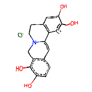 OC1=[C+]C2=C(C=C1O)CCN1Cc3c(ccc(O)c3O)C=C21.[Cl-]